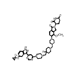 COc1c(N2CCC(CN3CCC(F)(CN4CCN(c5cc(-c6n[nH]c7ccc(OC8(C)CC8)cc67)ncn5)CC4)CC3)CC2)ccc2c1CN(C1CCC(=O)NC1=O)C2=O